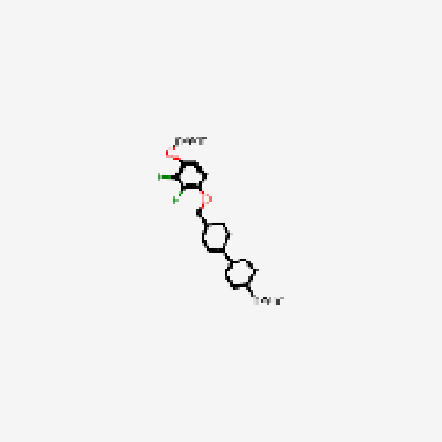 CCCCCOc1ccc(OCC2CCC(C3CCC(CCCCC)CC3)CC2)c(F)c1F